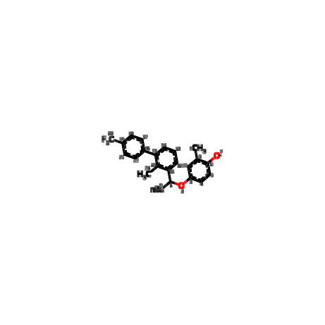 CCCCC(Oc1ccc([O])c(C)c1)c1cccc(-c2ccc(C(F)(F)F)cc2)c1C